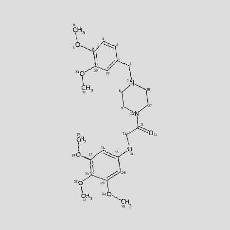 COc1ccc(CN2CCN(C(=O)COc3cc(OC)c(OC)c(OC)c3)CC2)cc1OC